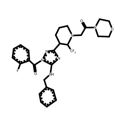 O=C(CN1CCCC(c2nc(NCc3ccccc3)n(C(=O)c3ccccc3F)n2)C1C(F)(F)F)N1CCOCC1